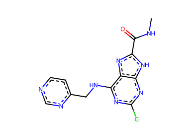 CNC(=O)c1nc2c(NCc3ccncn3)nc(Cl)nc2[nH]1